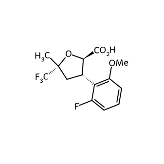 COc1cccc(F)c1[C@@H]1C[C@](C)(C(F)(F)F)O[C@H]1C(=O)O